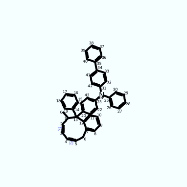 CC1/C=C\C=C/Cc2ccccc2C1(c1ccccc1)c1ccc(N(c2ccccc2)c2ccc(-c3ccccc3)cc2)cc1